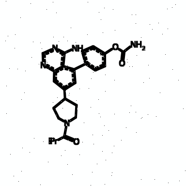 CC(C)C(=O)N1CCC(c2cc(-c3ccc(OC(N)=O)cc3)c3c(N)ncnc3c2)CC1